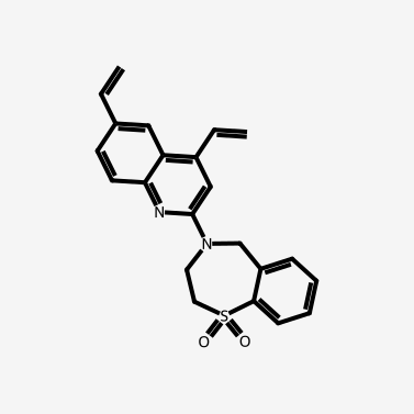 C=Cc1ccc2nc(N3CCS(=O)(=O)c4ccccc4C3)cc(C=C)c2c1